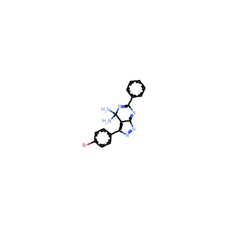 NC1(N)N=C(c2ccccc2)N=C2N=NC(c3ccc(Br)cc3)=C21